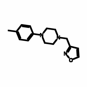 Cc1ccc(N2CCN(Cc3ccon3)CC2)cc1